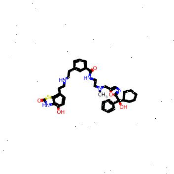 CN(CCNC(=O)c1cccc(CCNCCc2ccc(O)c3[nH]c(=O)sc23)c1)Cc1cnc(C(O)(c2ccccc2)C2CCCCC2)o1